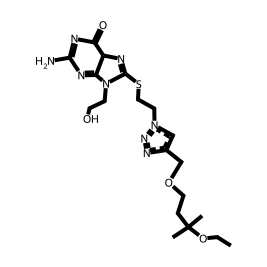 CCOC(C)(C)CCOCc1cn(CCSC2=NC3C(=O)N=C(N)N=C3N2CCO)nn1